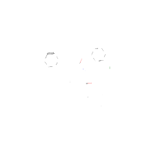 CC(C(=O)OC(C)(C)C)N(Cc1ccccc1Br)C(=O)OCc1c#cccc1